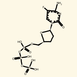 Nc1nc(=O)n([C@H]2CC[C@@H](COP(=O)(O)OP(=O)(O)OP(=O)(O)O)O2)cc1F